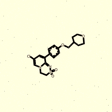 O=S1(=O)CCN2C=C(Cl)C=C(c3ccc(OCC4CCOCC4)cc3)C2=N1